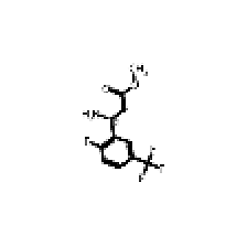 COC(=O)C[C@H](N)c1cc(C(F)(F)F)ccc1F